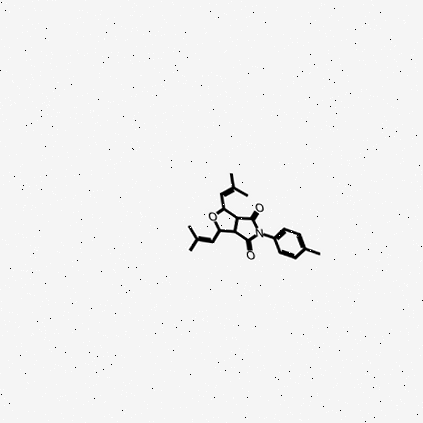 CC(C)=CC1OC(C=C(C)C)C2C(=O)N(c3ccc(C)cc3)C(=O)C12